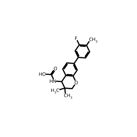 Cc1ccc(-c2ccc3c(c2)OCC(C)(C)C3NC(=O)O)cc1F